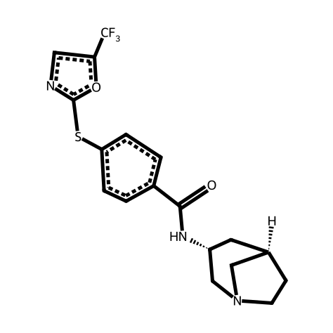 O=C(N[C@@H]1C[C@H]2CCN(C2)C1)c1ccc(Sc2ncc(C(F)(F)F)o2)cc1